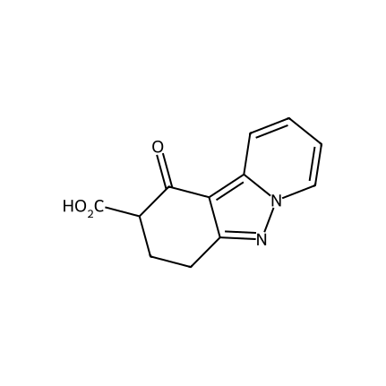 O=C(O)C1CCc2nn3ccccc3c2C1=O